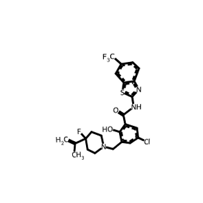 C=C(C)C1(F)CCN(Cc2cc(Cl)cc(C(=O)Nc3nc4ccc(C(F)(F)F)cc4s3)c2O)CC1